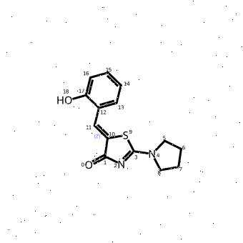 O=C1N=C(N2CCCC2)S/C1=C\c1ccccc1O